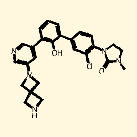 CN1CCN(c2ccc(-c3cccc(-c4cncc(N5CC6(CNC6)C5)c4)c3O)cc2Cl)C1=O